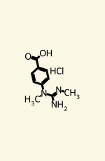 CN=C(N)N(C)c1ccc(C(=O)O)cc1.Cl